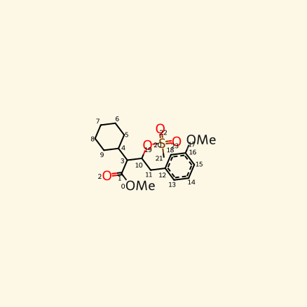 COC(=O)C(C1CCCCC1)C(Cc1cccc(OC)c1)OS(C)(=O)=O